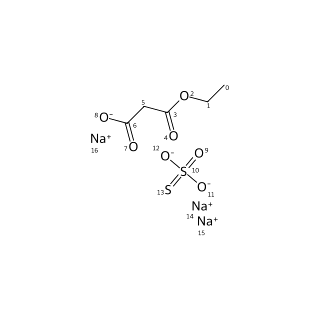 CCOC(=O)CC(=O)[O-].O=S([O-])([O-])=S.[Na+].[Na+].[Na+]